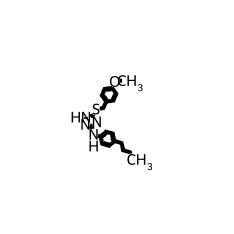 CCCCc1ccc(Nc2n[nH]c(SCc3ccc(OC)cc3)n2)cc1